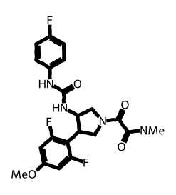 CNC(=O)C(=O)N1CC(NC(=O)Nc2ccc(F)cc2)C(c2c(F)cc(OC)cc2F)C1